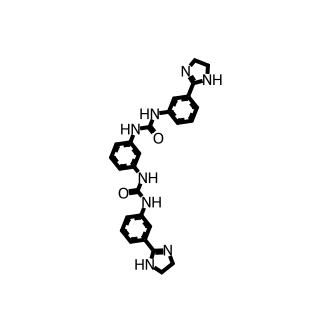 O=C(Nc1cccc(NC(=O)Nc2cccc(C3=NCCN3)c2)c1)Nc1cccc(C2=NCCN2)c1